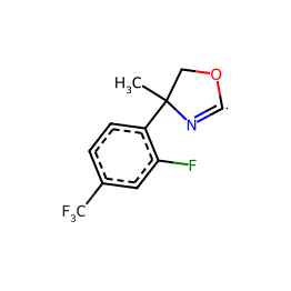 CC1(c2ccc(C(F)(F)F)cc2F)CO[C]=N1